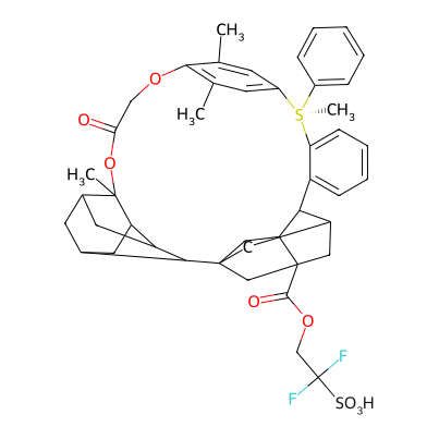 Cc1cc2cc(C)c1OCC(=O)OC1(C)C3CC4CC1C(C3)C4C13CC4CC(C(=O)OCC(F)(F)S(=O)(=O)O)(C1)C(C3)C4c1ccccc1[S@]2(C)c1ccccc1